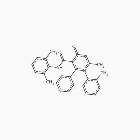 Cc1ccccc1-n1c(C)cc(=O)c(C(=O)Nc2c(C)cccc2C)c1-c1ccncc1